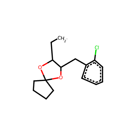 [CH2]CC1OC2(CCCC2)OC1Cc1ccccc1Cl